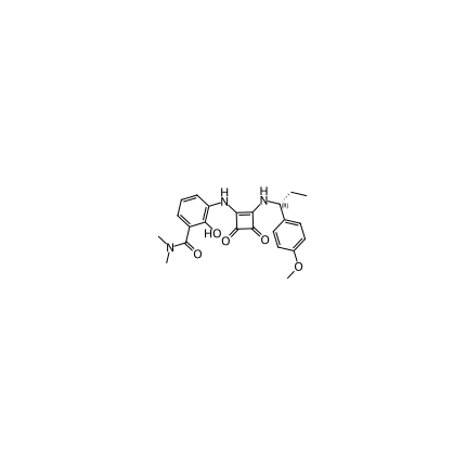 CC[C@@H](Nc1c(Nc2cccc(C(=O)N(C)C)c2O)c(=O)c1=O)c1ccc(OC)cc1